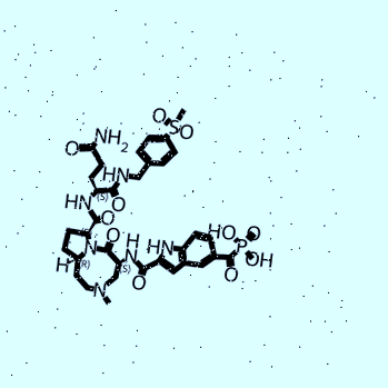 CN1CC[C@H]2CC[C@@H](C(=O)N[C@@H](CCC(N)=O)C(=O)NCc3ccc(S(C)(=O)=O)cc3)N2C(=O)[C@@H](NC(=O)c2cc3cc(C(=O)P(=O)(O)O)ccc3[nH]2)C1